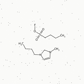 CCCCN1C=CN(C)C1.CCCCS(=O)(=O)OF